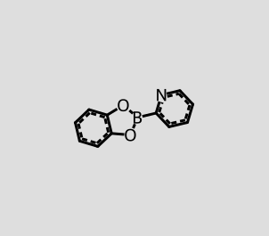 c1ccc(B2Oc3ccccc3O2)nc1